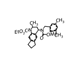 CCOC(=O)N1c2cc3c(cc2C(N(Cc2cc(C)cc(C)c2)C(=O)OC)CC1C)CCC3